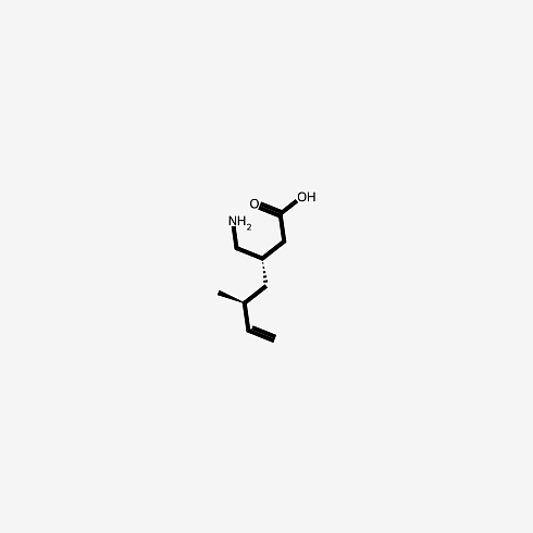 C=C[C@@H](C)C[C@H](CN)CC(=O)O